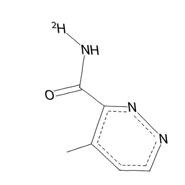 [2H]NC(=O)c1nnccc1C